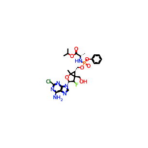 CC(C)OC(=O)[C@H](C)NP(=O)(OC[C@H]1C2(C)O[C@@H](n3cnc4c(N)nc(Cl)nc43)C(F)C12CO)Oc1ccccc1